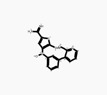 CSc1sc(C(=N)N)cc1[S+]([O-])c1cccc(-c2cccnc2Cl)c1